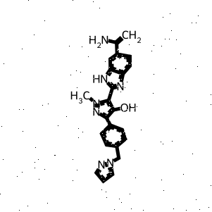 C=C(N)c1ccc2nc(-c3c(O)c(-c4ccc(Cn5cccn5)cc4)nn3C)[nH]c2c1